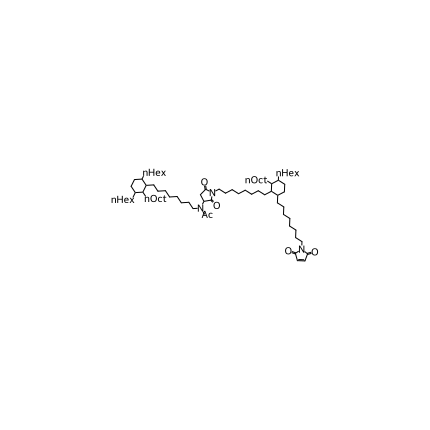 CCCCCCCCC1C(CCCCCC)CCC(CCCCCC)C1CCCCCCCCN(C(C)=O)C1CC(=O)N(CCCCCCCCC2C(CCCCCCCCN3C(=O)C=CC3=O)CCC(CCCCCC)C2CCCCCCCC)C1=O